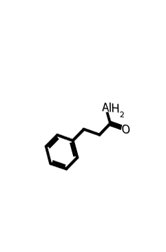 O=[C]([AlH2])CCc1ccccc1